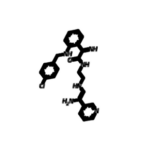 N=C(C(=O)NCCN/C=C(\N)c1cccnc1)c1ccccc1NCc1ccc(Cl)cc1